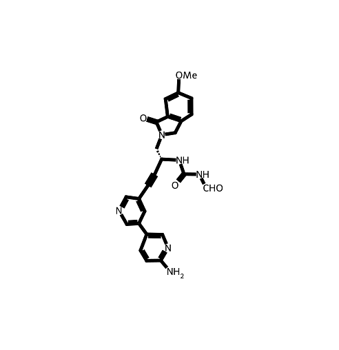 COc1ccc2c(c1)C(=O)N(C[C@@H](C#Cc1cncc(-c3ccc(N)nc3)c1)NC(=O)NC=O)C2